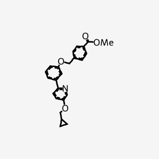 COC(=O)c1ccc(COc2cccc(-c3ccc(OCC4CC4)cn3)c2)cc1